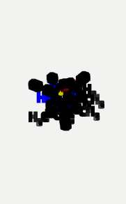 Cc1cc(C)c(N2c3cc4c(cc3B3c5sc6ccccc6c5Oc5cc(C67CC8CC(CC(C8)C6)C7)cc2c53)B2c3cc5c(cc3N(c3c(C)cc(C)cc3C)c3cc(C67CC8CC(CC(C8)C6)C7)cc(c32)N4c2c(C)cc(C)cc2C)Nc2cc(C34CC6CC(CC(C6)C3)C4)cc3c2B5c2sc4ccccc4c2N3c2ccccc2)c(C)c1